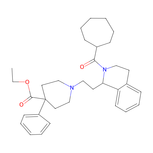 CCOC(=O)C1(c2ccccc2)CCN(CCC2c3ccccc3CCN2C(=O)C2CCCCCC2)CC1